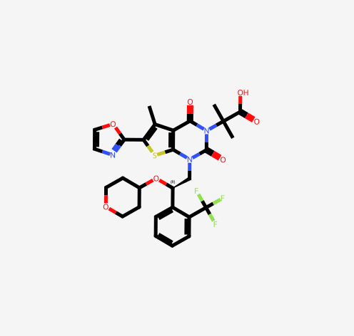 Cc1c(-c2ncco2)sc2c1c(=O)n(C(C)(C)C(=O)O)c(=O)n2C[C@H](OC1CCOCC1)c1ccccc1C(F)(F)F